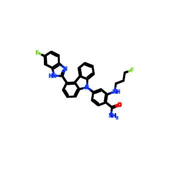 NC(=O)c1ccc(-n2c3ccccc3c3c(-c4nc5ccc(F)cc5[nH]4)cccc32)cc1NCCCF